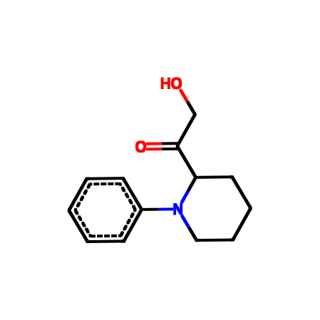 O=C(CO)C1CCCCN1c1ccccc1